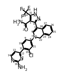 NC(=O)c1c(C2=CN(c3ccc(-c4ccnc(N)n4)c(Cl)c3)Cc3ccccc32)n[nH]c1C(F)(F)F